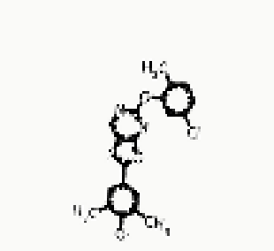 Cc1ccc(Cl)cc1Oc1ncc2nc(-c3cc(C)c([O])c(C)c3)oc2n1